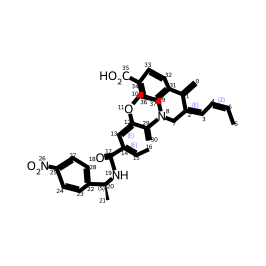 C=C(/C(=C\C=C/C)CN1CCO/C(=C/C(=C\C)C(=O)N[C@@H](C)c2ccc([N+](=O)[O-])cc2)C1=C)c1ccc(C(=O)O)cc1